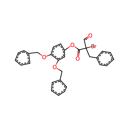 O=CC(Br)(Cc1ccccc1)C(=O)Oc1ccc(OCc2ccccc2)c(OCc2ccccc2)c1